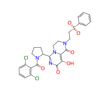 O=C1c2c(O)c(=O)nc(C3CCCN3C(=O)c3c(Cl)cccc3Cl)n2CCN1CCS(=O)(=O)c1ccccc1